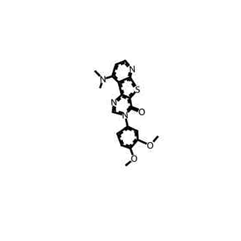 COc1ccc(-n2cnc3c(sc4nccc(N(C)C)c43)c2=O)cc1OC